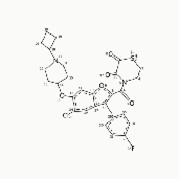 O=C1[SH4]CCN(C(=O)c2oc3cc(OC4CCN(C5CCC5)CC4)c(Cl)cc3c2-c2ccc(F)cc2)C1=O